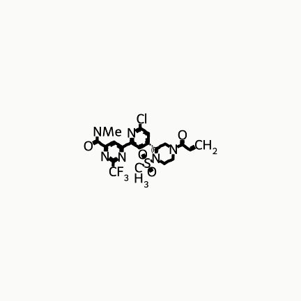 C=CC(=O)N1CCN(S(C)(=O)=O)[C@H](c2cc(Cl)nc(-c3cc(C(=O)NC)nc(C(F)(F)F)n3)c2)C1